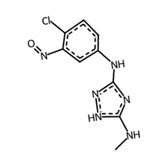 CNc1nc(Nc2ccc(Cl)c(N=O)c2)n[nH]1